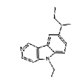 CCC(C)c1ccc2c(c1)c1cnccc1n2CC